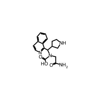 NC(=O)CN(C(=O)O)C(c1nccc2ccccc12)C1CCNC1